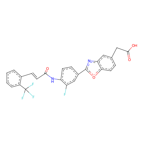 O=C(O)Cc1ccc2oc(-c3ccc(NC(=O)C=Cc4ccccc4C(F)(F)F)c(F)c3)nc2c1